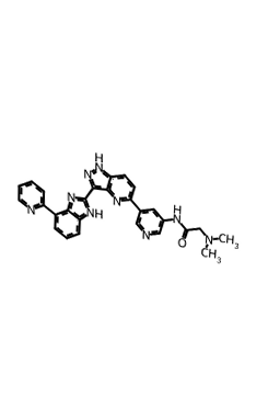 CN(C)CC(=O)Nc1cncc(-c2ccc3[nH]nc(-c4nc5c(-c6ccccn6)cccc5[nH]4)c3n2)c1